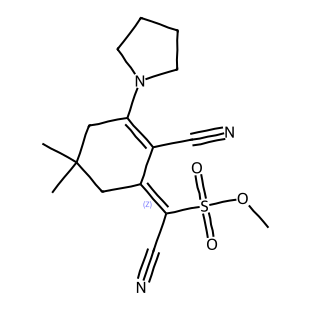 COS(=O)(=O)/C(C#N)=C1/CC(C)(C)CC(N2CCCC2)=C1C#N